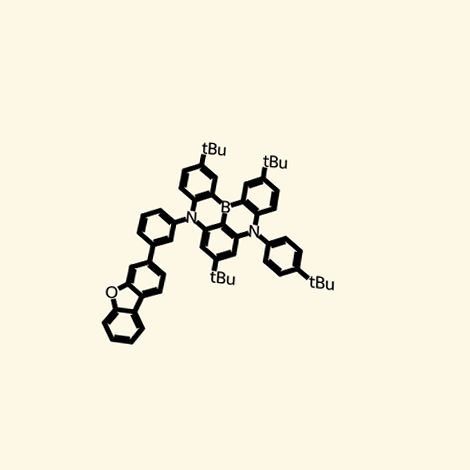 CC(C)(C)c1ccc(N2c3ccc(C(C)(C)C)cc3B3c4cc(C(C)(C)C)ccc4N(c4cccc(-c5ccc6c(c5)oc5ccccc56)c4)c4cc(C(C)(C)C)cc2c43)cc1